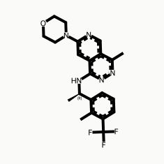 Cc1c([C@@H](C)Nc2nnc(C)c3cnc(N4CCOCC4)cc23)cccc1C(F)(F)F